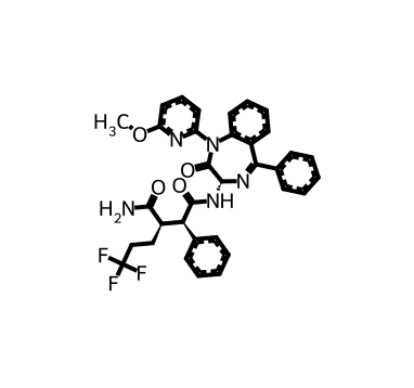 COc1cccc(N2C(=O)[C@@H](NC(=O)[C@@H](c3ccccc3)[C@@H](CCC(F)(F)F)C(N)=O)N=C(c3ccccc3)c3ccccc32)n1